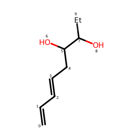 C=CC=CCC(O)C(O)CC